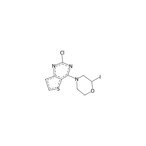 Clc1nc(N2CCOC(I)C2)c2sccc2n1